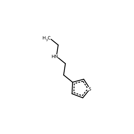 CCNCCc1ccsc1